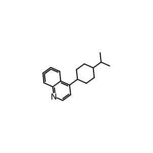 CC(C)C1CCC(c2ccnc3c2C=C=C=C3)CC1